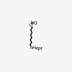 CCCCCCCCCCCCCCCON=O